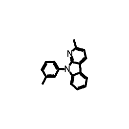 Cc1cccc(-n2c3ccccc3c3ccc(C)nc32)c1